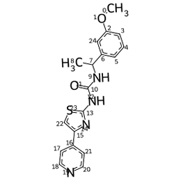 COc1cccc(C(C)NC(=O)Nc2nc(-c3ccncc3)cs2)c1